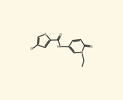 CCn1cc(NC(=O)c2cc(Cl)cs2)ccc1=O